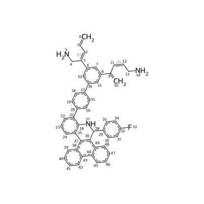 C=C/C=C(\CN)c1cc(C(=C)/C=C\CN)cc(-c2ccc(-c3cccc4c3NC(c3ccc(F)cc3)c3c-4c4ccccc4c4ccccc34)cc2)c1